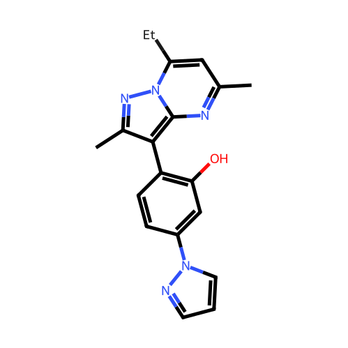 CCc1cc(C)nc2c(-c3ccc(-n4cccn4)cc3O)c(C)nn12